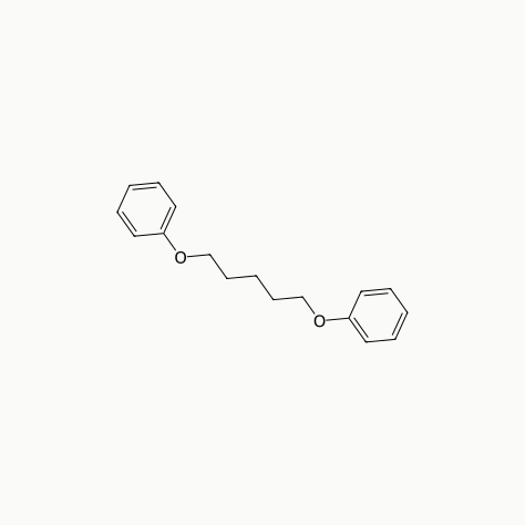 c1ccc(OCCCCCOc2ccccc2)cc1